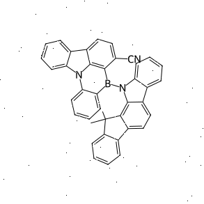 CC1(C)c2ccccc2-c2ccc3c4ccccc4n(B4c5ccccc5-n5c6ccccc6c6ccc(C#N)c4c65)c3c21